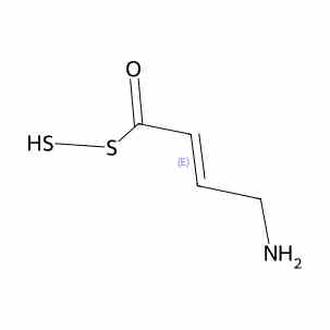 NC/C=C/C(=O)SS